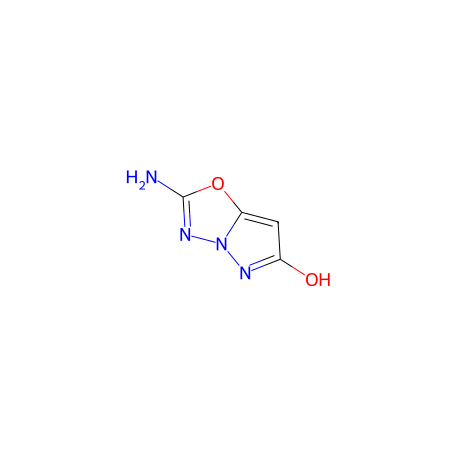 Nc1nn2nc(O)cc2o1